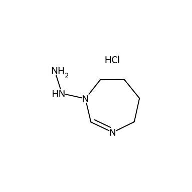 Cl.NNN1C=NCCCC1